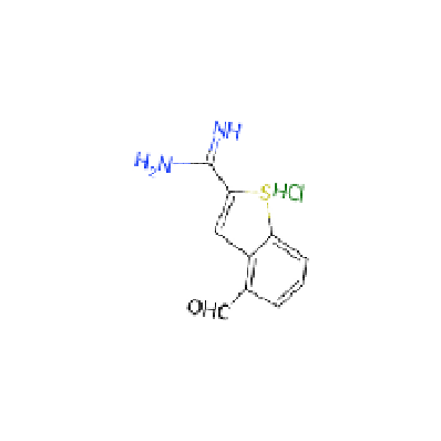 Cl.N=C(N)c1cc2c(C=O)cccc2s1